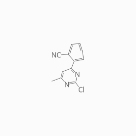 Cc1cc(-c2ccccc2C#N)nc(Cl)n1